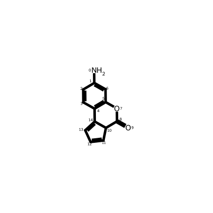 Nc1ccc2c(c1)OC(=O)C1C=CC=C21